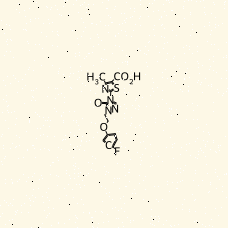 Cc1nc(-n2cnn(CCOc3ccc(F)cc3)c2=O)sc1C(=O)O